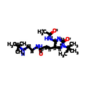 CC(=O)Nc1nc(=O)n(C(C)(C)C)cc1/C=C/C(=O)NCCNC(C)(C)C